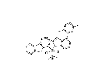 CCC1=Cc2c(-c3cc(C)ccc3C)cccc2[CH]1[Zr]([Cl])([Cl])([c]1cccc2c1Cc1ccccc1-2)[SiH](C)C